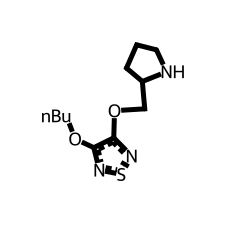 CCCCOc1nsnc1OCC1CCCN1